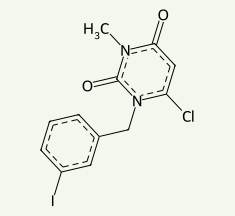 Cn1c(=O)cc(Cl)n(Cc2cccc(I)c2)c1=O